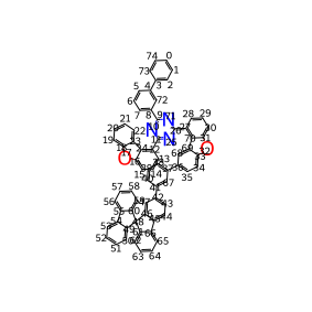 c1ccc(-c2cccc(-c3nc(-c4cccc5oc6ccccc6c45)nc(-c4cccc5oc6ccc(-c7cccc(-c8ccc9c(c8)C8(c%10ccccc%10-c%10ccccc%108)c8ccccc8-9)c7)cc6c45)n3)c2)cc1